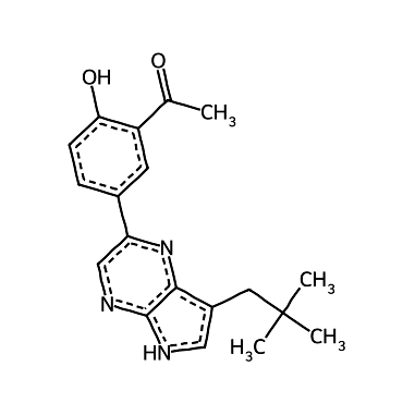 CC(=O)c1cc(-c2cnc3[nH]cc(CC(C)(C)C)c3n2)ccc1O